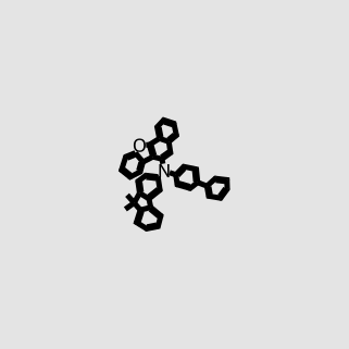 CC1(C)c2ccccc2-c2cc(N(c3ccc(-c4ccccc4)cc3)c3cc4ccccc4c4oc5ccccc5c34)ccc21